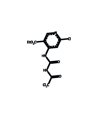 CCOC(=O)c1cnc(Cl)cc1NC(=O)NC(=O)C(Cl)(Cl)Cl